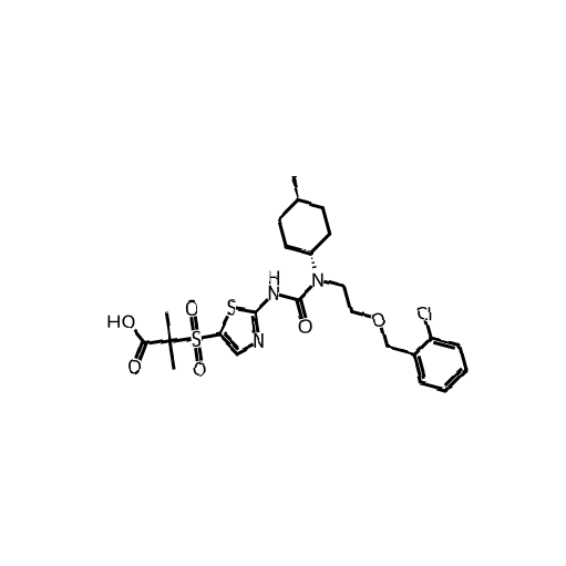 CC(C)(C(=O)O)S(=O)(=O)c1cnc(NC(=O)N(CCOCc2ccccc2Cl)[C@H]2CC[C@H](C)CC2)s1